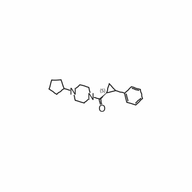 O=C([C@H]1CC1c1ccccc1)N1CCN(C2CCCC2)CC1